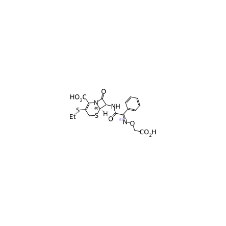 CCSC1=C(C(=O)O)N2C(=O)C(NC(=O)/C(=N/OCC(=O)O)c3ccccc3)[C@H]2SC1